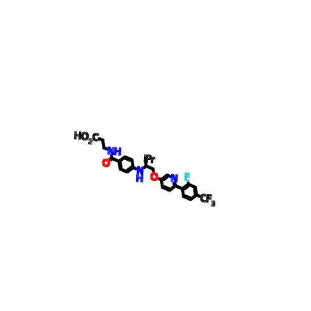 CC(C)C(COc1ccc(-c2ccc(C(F)(F)F)cc2F)nc1)Nc1ccc(C(=O)NCCC(=O)O)cc1